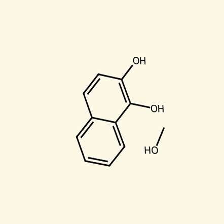 CO.Oc1ccc2ccccc2c1O